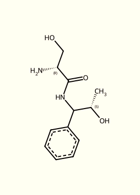 C[C@H](O)C(NC(=O)[C@H](N)CO)c1ccccc1